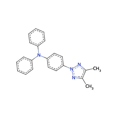 Cc1nn(-c2ccc(N(c3ccccc3)c3ccccc3)cc2)nc1C